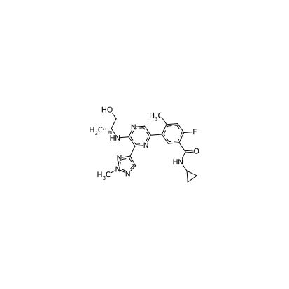 Cc1cc(F)c(C(=O)NC2CC2)cc1-c1cnc(N[C@H](C)CO)c(-c2cnn(C)n2)n1